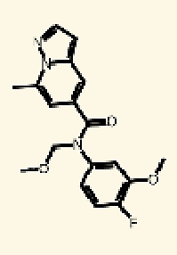 COCN(C(=O)c1cc(C)n2nccc2c1)c1ccc(F)c(OC)c1